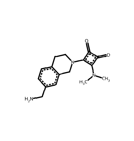 CN(C)c1c(N2CCc3ccc(CN)cc3C2)c(=O)c1=O